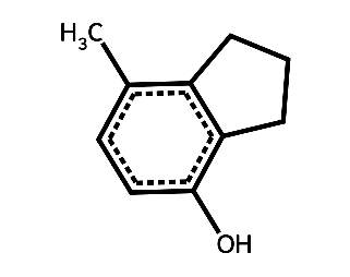 Cc1ccc(O)c2c1CCC2